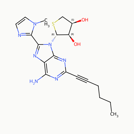 CCCCC#Cc1nc(N)c2nc(-c3nccn3C)n([C@@H]3SC[C@@H](O)[C@H]3O)c2n1